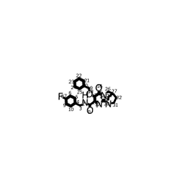 O=C(NCc1ccc(F)cc1)c1nc2n(c(=O)c1OCc1ccccc1)CC1CCN2CC1